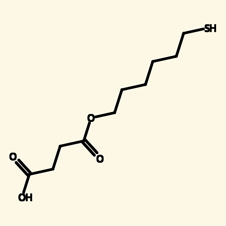 O=C(O)CCC(=O)OCCCCCCS